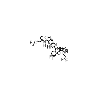 C[C@@H](NC(=O)CCC(F)(F)F)c1ccc2nc([C@@H](NC(=O)c3cnnn3CCC(F)F)C3CCC(F)(F)CC3)[nH]c2c1